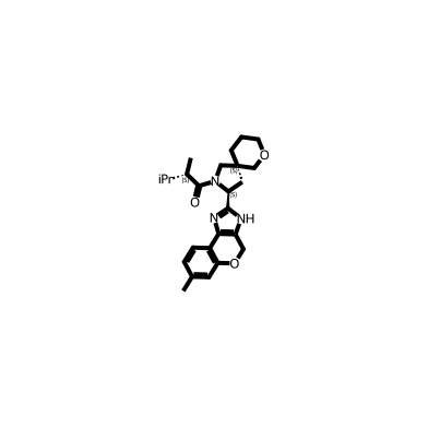 Cc1ccc2c(c1)OCc1[nH]c([C@@H]3C[C@@]4(CCCOC4)CN3C(=O)[C@@H](C)C(C)C)nc1-2